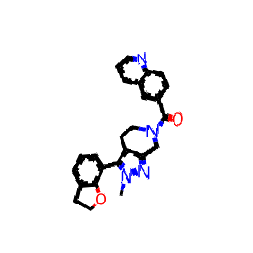 Cn1nc2c(c1-c1cccc3c1OCC3)CCN(C(=O)c1ccc3ncccc3c1)C2